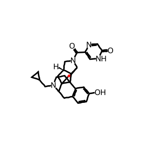 O=C(c1c[nH]c(=O)cn1)N1C[C@H]2CC34CCC1C2C31CCN(CC2CC2)C4Cc2ccc(O)cc21